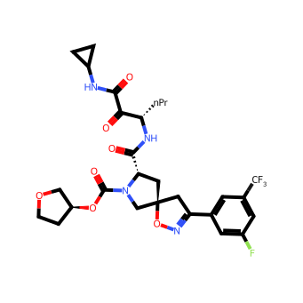 CCC[C@H](NC(=O)[C@@H]1C[C@]2(CC(c3cc(F)cc(C(F)(F)F)c3)=NO2)CN1C(=O)O[C@H]1CCOC1)C(=O)C(=O)NC1CC1